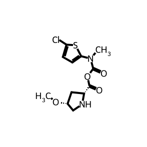 CO[C@H]1CN[C@@H](C(=O)OC(=O)N(C)c2ccc(Cl)s2)C1